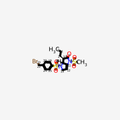 CCC[C@H]1C(=O)N(S(C)(=O)=O)C2=CCN(S(=O)(=O)c3ccc(CBr)cc3)[C@@H]21